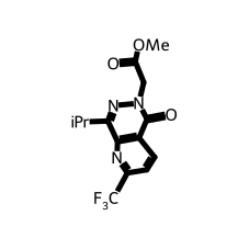 COC(=O)Cn1nc(C(C)C)c2nc(C(F)(F)F)ccc2c1=O